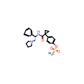 CS(=O)(=O)Oc1ccc(C2(C(=O)N[C@H](CN3CCCC3)c3ccccc3)CC2)cc1